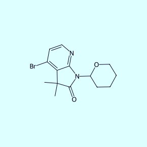 CC1(C)C(=O)N(C2CCCCO2)c2nccc(Br)c21